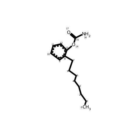 CCCCCCCCc1ccccc1OC(N)=O